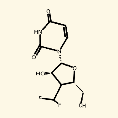 O=c1ccn([C@@H]2O[C@H](CO)C(C(F)F)[C@H]2O)c(=O)[nH]1